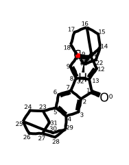 O=C1c2cc3c(cc2-c2cc4c(cc21)C1CC2CC4C[C@H](C2)C1)C1CC2CC(CC3C2)C1